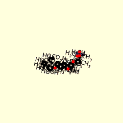 C/C=C(/C)C(=O)O[C@@H]1C(O)[C@H](O[C@H]2[C@H](O)[C@@]3(COC(C)=O)C(CC2(C)C)C2=CCC4[C@@]5(C)CC[C@H](O[C@@H]6OC(C(=O)O)[C@@H](O)[C@@H](O[C@@H]7O[C@@H](CO)C(O)[C@@H]7O)C6O[C@@H]6OC(CO)[C@H](O)[C@@H](O)C6O)C(C)(C)C5CC[C@@]4(C)[C@]2(C)C[C@@H]3O)OC(C)[C@@H]1OC(=O)/C(C)=C\C